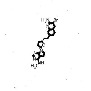 CNc1ncnc2c1ccn2[C@H]1CC[C@@H](CCc2ccc3cc(Br)c(N)nc3c2)O1